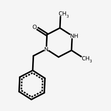 CC1CN(Cc2ccccc2)C(=O)C(C)N1